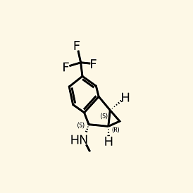 CN[C@@H]1c2ccc(C(F)(F)F)cc2[C@H]2C[C@H]21